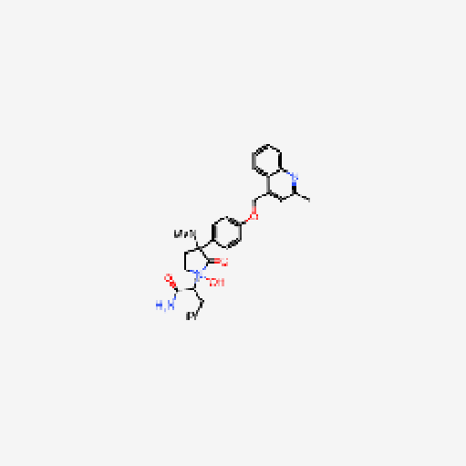 CNC1(c2ccc(OCc3cc(C)nc4ccccc34)cc2)CC[N@@+](O)(C(CC(C)C)C(N)=O)C1=O